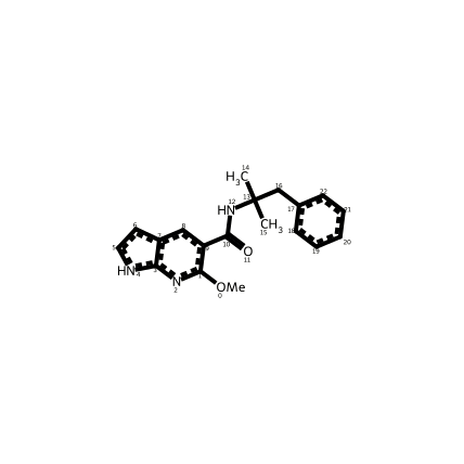 COc1nc2[nH]ccc2cc1C(=O)NC(C)(C)Cc1ccccc1